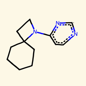 [c]1nccc(N2CCC23CCCCC3)n1